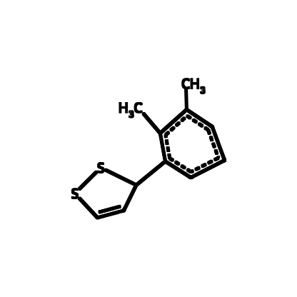 Cc1cccc(C2C=CSS2)c1C